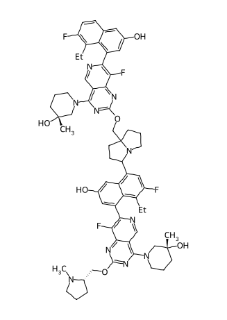 CCc1c(F)ccc2cc(O)cc(-c3ncc4c(N5CCC[C@@](C)(O)C5)nc(OCC56CCCN5C(c5cc(F)c(CC)c7c(-c8ncc9c(N%10CCC[C@@](C)(O)C%10)nc(OC[C@@H]%10CCCN%10C)nc9c8F)cc(O)cc57)CC6)nc4c3F)c12